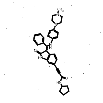 CN1CCN(c2ccc(N/C(=C3/C(=O)Nc4cc(C#CC(=O)NC5CCCC5)ccc43)c3ccccc3)cc2)CC1